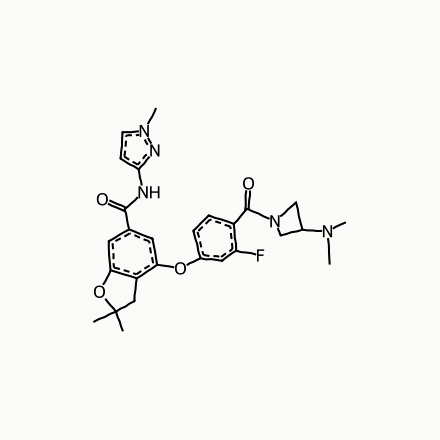 CN(C)C1CN(C(=O)c2ccc(Oc3cc(C(=O)Nc4ccn(C)n4)cc4c3CC(C)(C)O4)cc2F)C1